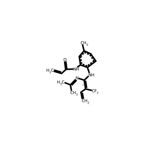 C=CC(=O)Nc1cc(C)ccc1N/C(N=C(C)C)=C(/C=C)C(F)(F)F